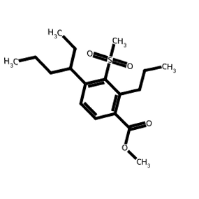 CCCc1c(C(=O)OC)ccc(C(CC)CCC)c1S(C)(=O)=O